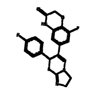 O=C1COc2c(F)cc(C3=CN4CCN=C4SC3c3ccc(F)cc3)cc2N1